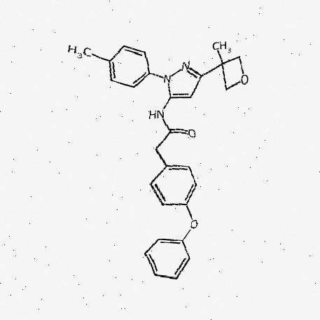 Cc1ccc(-n2nc(C3(C)COC3)cc2NC(=O)Cc2ccc(Oc3ccccc3)cc2)cc1